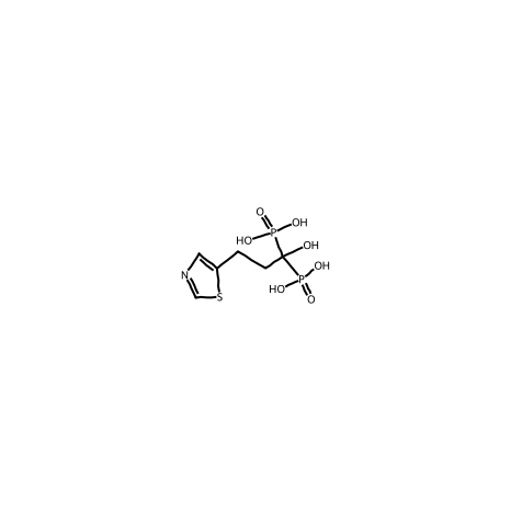 O=P(O)(O)C(O)(CCc1cncs1)P(=O)(O)O